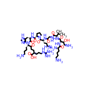 CC(C)[C@H](NC(=O)[C@@H](NC(=O)[C@@H](N)CCCCN)[C@@H](O)CN)C(=O)NCC(=O)N[C@H](CCCN)C(=O)N1CCC[C@H]1C(=O)N[C@@H](Cc1cnc[nH]1)C(=O)N[C@@H](CCCCN)C(=O)CC/C(=C\CCNC(=N)N)C(=O)O